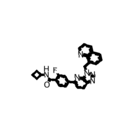 O=C(NC1CCC1)c1ccc(-c2ccc3nnn(Cc4cccc5cccnc45)c3n2)cc1F